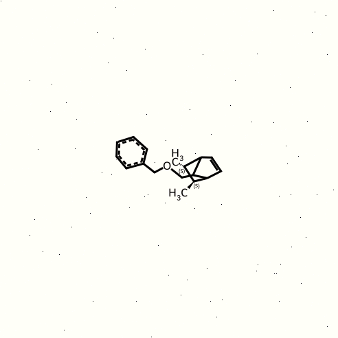 C[C@@H]1C2C=CC(C2COCc2ccccc2)[C@H]1C